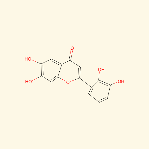 O=c1cc(-c2cccc(O)c2O)oc2cc(O)c(O)cc12